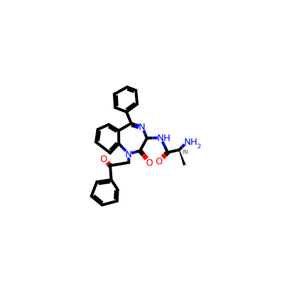 C[C@H](N)C(=O)NC1N=C(c2ccccc2)c2ccccc2N(CC(=O)c2ccccc2)C1=O